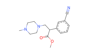 COC(=O)C(CN1CCN(C)CC1)c1cccc(C#N)c1